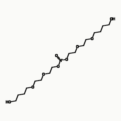 O=[N+](OCCOCCOCCCCO)OCCOCCOCCCCO